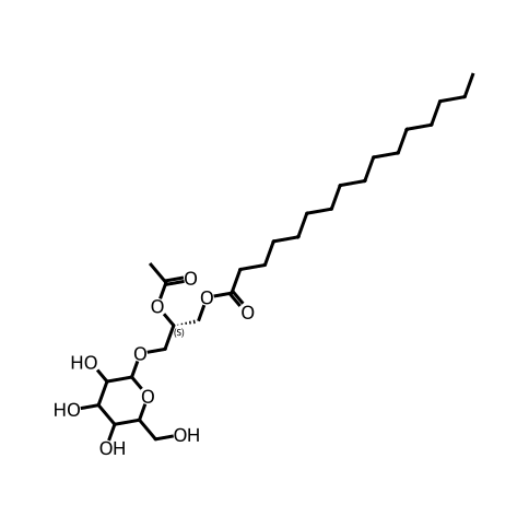 CCCCCCCCCCCCCCCC(=O)OC[C@H](COC1OC(CO)C(O)C(O)C1O)OC(C)=O